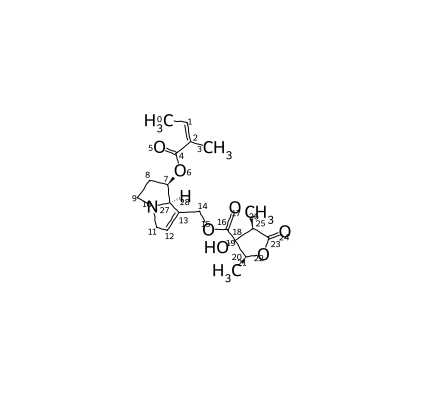 C/C=C(/C)C(=O)O[C@@H]1CCN2CC=C(COC(=O)[C@]3(O)[C@H](C)OC(=O)[C@@H]3C)[C@H]12